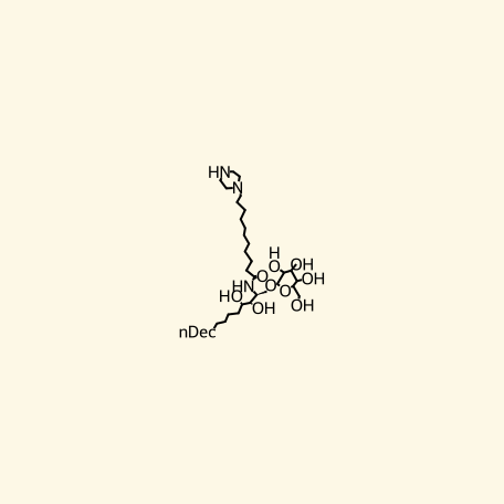 CCCCCCCCCCCCCC[C@@H](O)[C@@H](O)[C@H](COC1OC(CO)C(O)C(O)C1O)NC(=O)CCCCCCCCCCN1CCNCC1